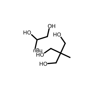 CC(CO)(CO)CO.CCCCC(O)CO